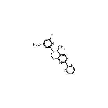 Cc1cc(F)nc(N2CCc3nc(-c4ncccn4)ncc3C2C)c1